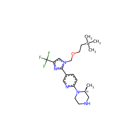 C[C@H]1CNCCN1c1ccc(-c2nc(C(F)(F)F)cn2COCC[Si](C)(C)C)cn1